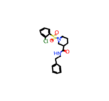 O=C(NCCc1ccccc1)C1CCCN(S(=O)(=O)c2ccccc2Cl)C1